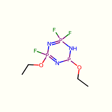 CCOP1N=P(F)(OCC)N=P(F)(F)N1